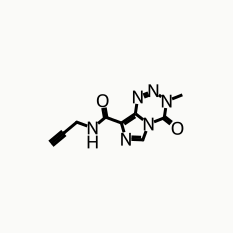 C#CCNC(=O)c1ncn2c(=O)n(C)nnc12